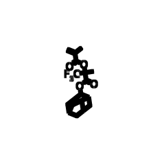 C=C(C)C(=O)OC(C)(C(=O)OC1C2CC3CC(C2)CC1C3)C(F)(F)F